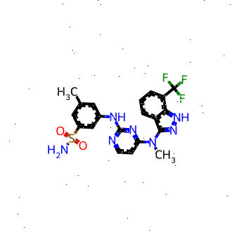 Cc1cc(Nc2nccc(N(C)c3n[nH]c4c(C(F)(F)F)cccc34)n2)cc(S(N)(=O)=O)c1